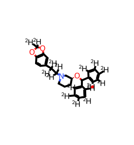 [2H]c1c([2H])c([2H])c(C(O[C@@H]2CCCN(C([2H])([2H])C([2H])([2H])c3ccc4c(c3)OC([2H])([2H])O4)C2)c2c([2H])c([2H])c([2H])c([2H])c2[2H])c([2H])c1[2H]